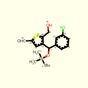 CC(C)(C)[Si](C)(C)OC(c1cccc(Cl)c1)c1cc(C=O)sc1CO